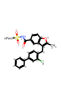 CCCCCS(=O)(=O)NC(=O)c1ccc2oc(C)c(Cc3ccc(-c4ccccc4)cc3Cl)c2c1